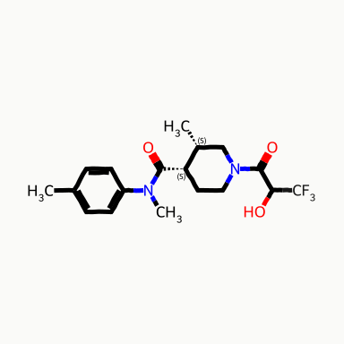 Cc1ccc(N(C)C(=O)[C@H]2CCN(C(=O)C(O)C(F)(F)F)C[C@H]2C)cc1